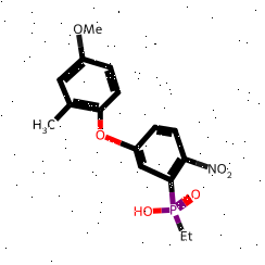 CCP(=O)(O)c1cc(Oc2ccc(OC)cc2C)ccc1[N+](=O)[O-]